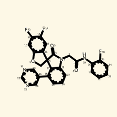 O=C(CN1C(=O)C2(COc3cc(F)c(F)cc32)c2c(-c3cncnc3)cccc21)Nc1ccccc1F